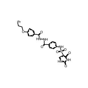 CC(C)CCOc1ccc(C(=O)NNC(=O)c2ccc(NS(=O)(=O)c3c[nH]c(=O)[nH]c3=O)cc2)cc1